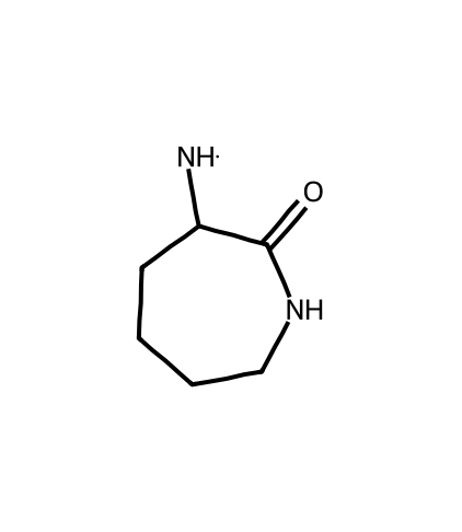 [NH]C1CCCCNC1=O